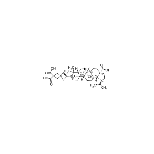 C=C(C)[C@@H]1CC[C@]2(C(=O)O)CC[C@]3(C)C(CC[C@@H]4[C@@]5(C)CC=C(C6=CC7(C6)CC(C(=O)O)(C(=O)O)C7)C(C)(C)[C@@H]5CC[C@]43C)[C@@H]12